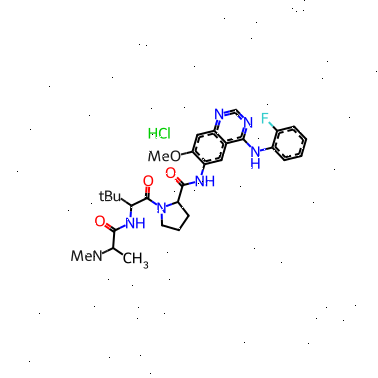 CNC(C)C(=O)NC(C(=O)N1CCCC1C(=O)Nc1cc2c(Nc3ccccc3F)ncnc2cc1OC)C(C)(C)C.Cl